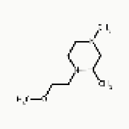 COCCN1CCN(C)CC1C